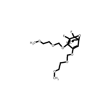 C=CC12C=C(OCOCCOC)C(OCOCCOC)=C(F)C1(F)O2